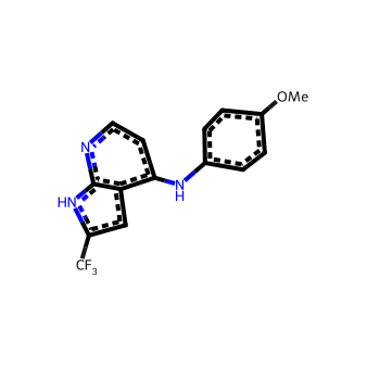 COc1ccc(Nc2ccnc3[nH]c(C(F)(F)F)cc23)cc1